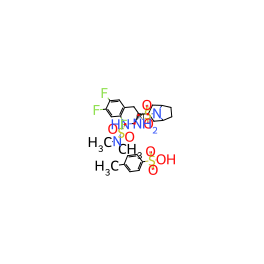 CN(C)S(=O)(=O)NCCS(=O)(=O)N1C2CCC1CC([C@H](N)Cc1cc(F)c(F)cc1F)C2.Cc1ccc(S(=O)(=O)O)cc1